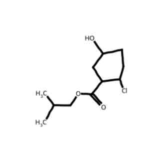 CC(C)COC(=O)C1CC(O)CCC1Cl